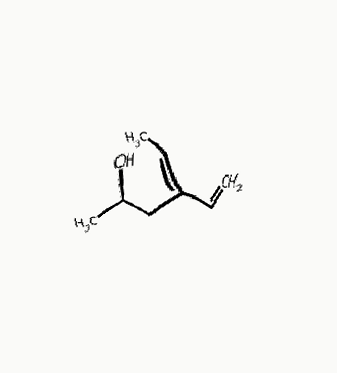 C=CC(=CC)CC(C)O